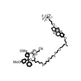 COc1ccc(C(OCC(CCCCN(C)CCCOCCSSCCOCCCN(C)CCOc2ccc3c(c2)CC[C@@H]2[C@@H]3CC[C@]3(C)[C@@H](OCCCOC(C(F)(F)F)(C(F)(F)F)C(F)(F)F)CC[C@@H]23)COP(OCCC#N)N(C(C)C)C(C)C)(c2ccccc2)c2ccc(OC)cc2)cc1